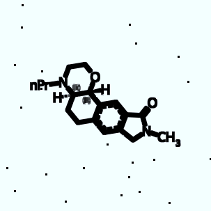 CCCN1CCO[C@@H]2c3cc4c(cc3CC[C@H]21)CN(C)C4=O